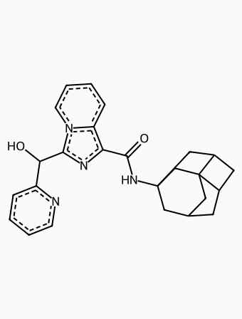 O=C(NC12CC3CC4CC(C1)C4(C3)C2)c1nc(C(O)c2ccccn2)n2ccccc12